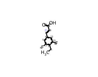 CCc1c(F)cc(/C=C/C(=O)O)cc1F